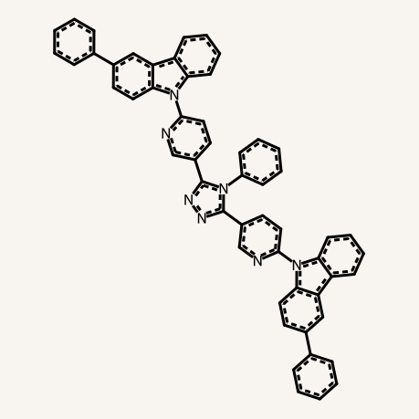 c1ccc(-c2ccc3c(c2)c2ccccc2n3-c2ccc(-c3nnc(-c4ccc(-n5c6ccccc6c6cc(-c7ccccc7)ccc65)nc4)n3-c3ccccc3)cn2)cc1